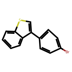 Brc1ccc(-c2csc3ccccc23)cc1